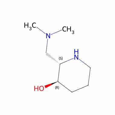 CN(C)C[C@@H]1NCCC[C@H]1O